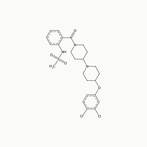 CS(=O)(=O)Nc1ccccc1C(=O)N1CCC(N2CCC(Oc3ccc(Cl)c(Cl)c3)CC2)CC1